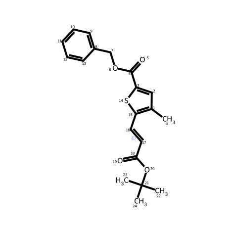 Cc1cc(C(=O)OCc2ccccc2)sc1/C=C/C(=O)OC(C)(C)C